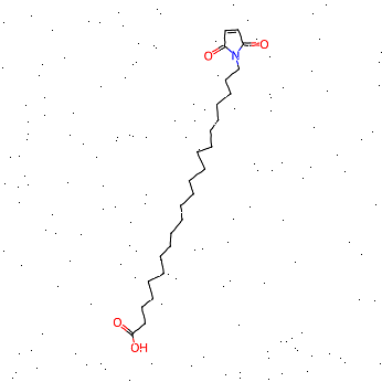 O=C(O)CCCCCCCCCCCCCCCCCCCCCN1C(=O)C=CC1=O